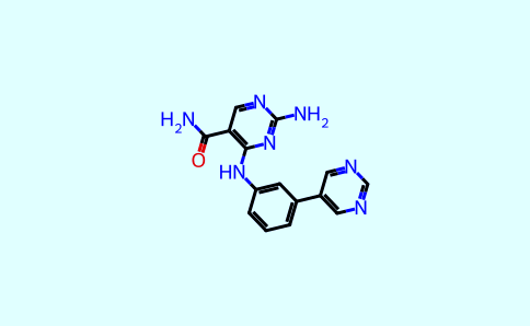 NC(=O)c1cnc(N)nc1Nc1cccc(-c2cncnc2)c1